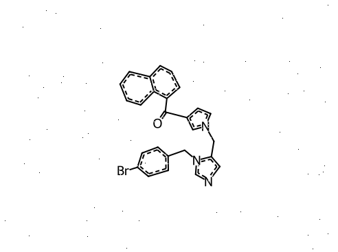 O=C(c1ccn(Cc2cncn2Cc2ccc(Br)cc2)c1)c1cccc2ccccc12